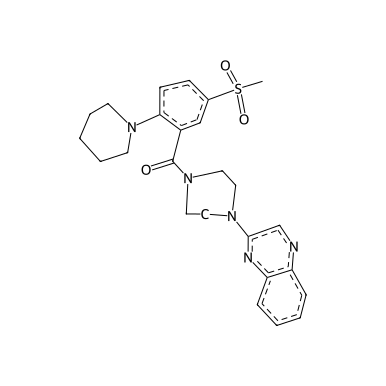 CS(=O)(=O)c1ccc(N2CCCCC2)c(C(=O)N2CCN(c3cnc4ccccc4n3)CC2)c1